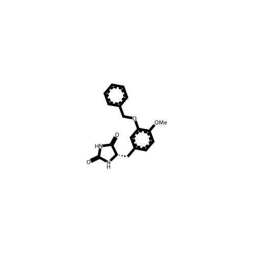 COc1ccc(C[C@@H]2NC(=O)NC2=O)cc1OCc1ccccc1